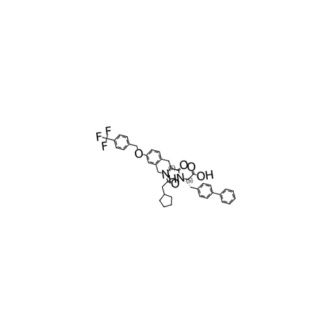 O=C(O)[C@H](Cc1ccc(-c2ccccc2)cc1)NC(=O)[C@@H]1Cc2ccc(OCc3ccc(C(F)(F)F)cc3)cc2CN1C(=O)CC1CCCC1